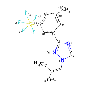 CC(C)=Cn1cnc(-c2cc(C(F)(F)F)cc(S(F)(F)(F)(F)F)c2)n1